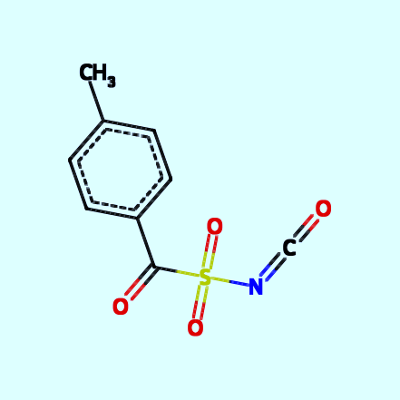 Cc1ccc(C(=O)S(=O)(=O)N=C=O)cc1